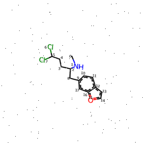 CNC(CCC(Cl)Cl)Cc1ccc2ccoc2c1